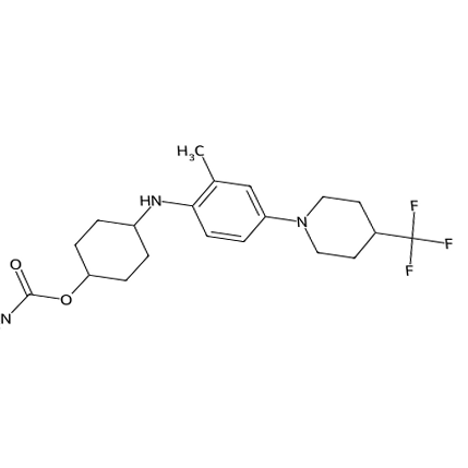 Cc1cc(N2CCC(C(F)(F)F)CC2)ccc1NC1CCC(OC(N)=O)CC1